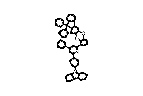 c1ccc(-c2cc(-c3ccc(-n4c5ccccc5c5ccccc54)cc3)nc(-c3cccc4c3Oc3cc5c(cc3O4)-c3ccccc3C5(c3ccccc3)c3ccccc3)c2)cc1